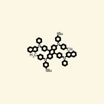 Cc1ccc(N(c2ccc(C(C)(C)C)cc2)c2ccc3c(-c4ccc(N(c5ccccc5)c5ccc6ccccc6c5)cc4)c4cc(N(c5ccc(C)cc5)c5ccc(C(C)(C)C)cc5)ccc4c(-c4ccc(N(c5ccccc5)c5ccc6ccccc6c5)cc4)c3c2)cc1